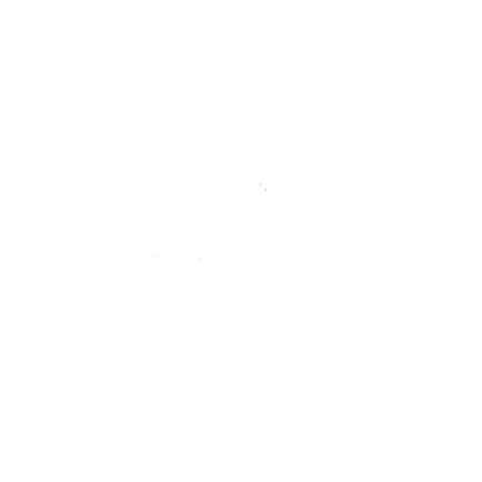 COc1ccc(NC(=O)Nc2ccccc2)cc1[N+](=O)[O-]